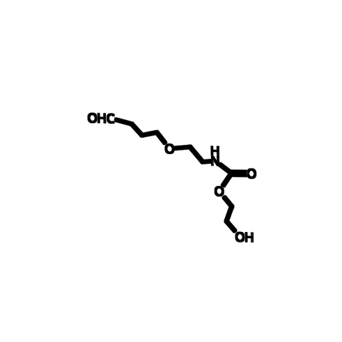 O=CCCCOCCNC(=O)OCCO